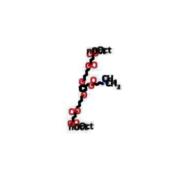 CCCCCCCCOC(CCC(=O)OCCCCCOc1ccc(OCCCCCOC(=O)CCC(OCCCCCCCC)OCCCCCCCC)c(COC(=O)CCCN(C)C)c1)OCCCCCCCC